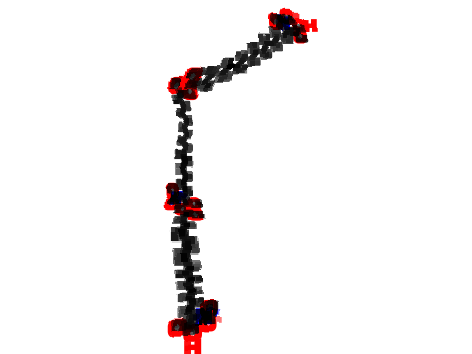 O=C(CCCCCCCCCCCCCCC(C(=O)OC(=O)CCCCCCCCCCCCCC(C(=O)O)[N+](=O)[O-])[N+](=O)[O-])OC(=O)CCCCCCCCCCCCCC(C(=O)O)[N+](=O)[O-]